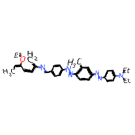 C=C(/C=C\C(=C/C)OCC)N=Cc1ccc(N=Nc2ccc(N=Nc3ccc(N(CC)CC)cc3)cc2C)cc1